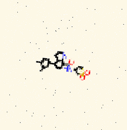 Cc1ccc(-c2ccc(C(=O)N[C@@H]3C=CS(=O)(=O)C3)c3ncccc23)cc1C